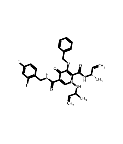 C=CC(C)Nn1cc(C(=O)NCc2ccc(F)cc2F)c(=O)c(OCc2ccccc2)c1C(=O)N[C@@H](C)C=C